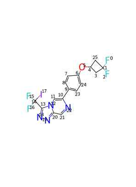 FC1(F)CC(Oc2ccc(-c3cn4c(C(F)(F)I)nnc4cn3)cc2)C1